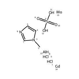 Cl.Cl.Cn1ccnc1.O=S(=O)(O)O.[AlH3].[Gd].[Mo]